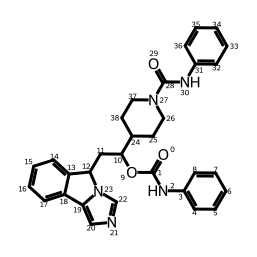 O=C(Nc1ccccc1)OC(CC1c2ccccc2-c2cncn21)C1CCN(C(=O)Nc2ccccc2)CC1